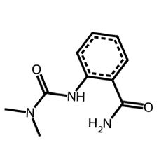 CN(C)C(=O)Nc1ccccc1C(N)=O